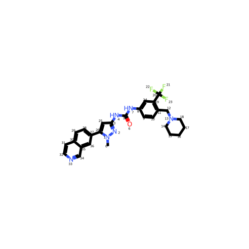 Cn1nc(NC(=O)Nc2ccc(CN3CCCCC3)c(C(F)(F)F)c2)cc1-c1ccc2ccncc2c1